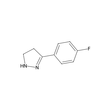 Fc1ccc(C2=NNCC2)cc1